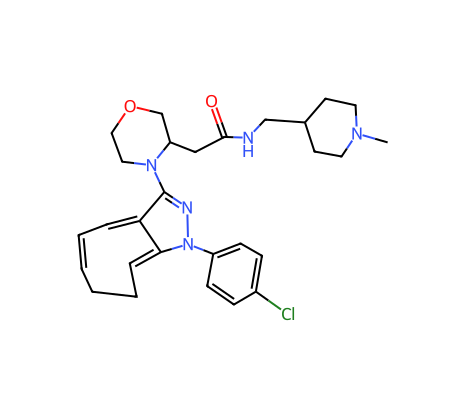 CN1CCC(CNC(=O)CC2COCCN2c2nn(-c3ccc(Cl)cc3)c3/c2=C\C=C/CC/C=3)CC1